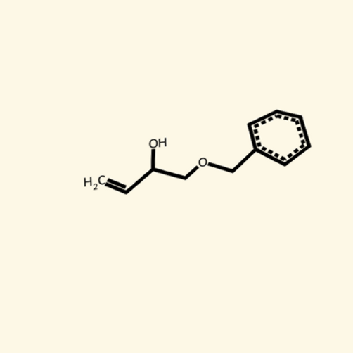 C=CC(O)COCc1ccccc1